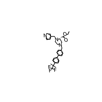 CCOC(=O)C[C@@H]1CN(Cc2ccc(-c3ccc(C(C)(C)C(F)(F)F)cc3)cc2)CCN1Cc1ccncc1